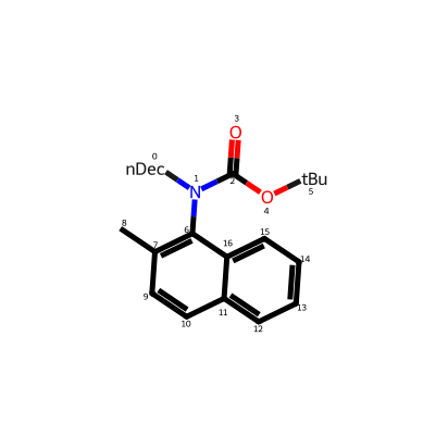 CCCCCCCCCCN(C(=O)OC(C)(C)C)c1c(C)ccc2ccccc12